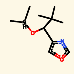 C[SiH](C)OC(c1cocn1)C(C)(C)C